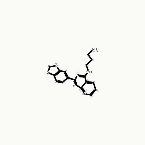 NCCCNc1nc(-c2ccc3c(c2)OCO3)cc2ncccc12